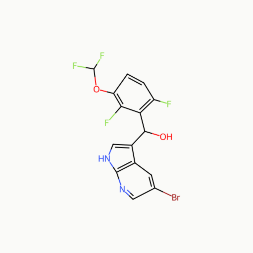 OC(c1c(F)ccc(OC(F)F)c1F)c1c[nH]c2ncc(Br)cc12